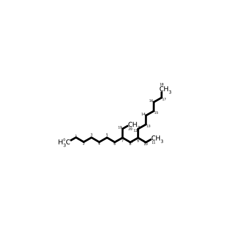 CCCCCCCC([CH]C(CC)CCCCCCC)CC